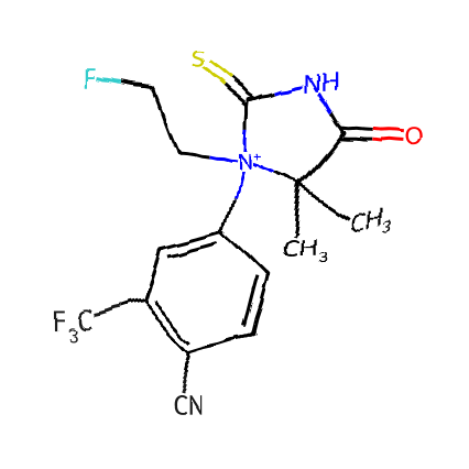 CC1(C)C(=O)NC(=S)[N+]1(CCF)c1ccc(C#N)c(C(F)(F)F)c1